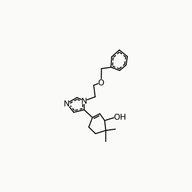 CC1(C)CCC(c2cncn2CCOCc2ccccc2)=CC1O